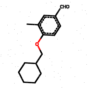 Cc1cc(C=O)ccc1OCC1CCCCC1